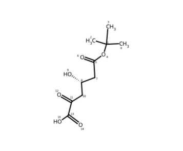 CC(C)(C)OC(=O)C[C@@H](O)CC(=O)C(=O)O